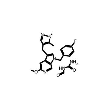 COc1cc2c(Cc3cnn(C)c3C)cn(Cc3ccc(F)cc3)c2cn1.NC(=O)NC=O